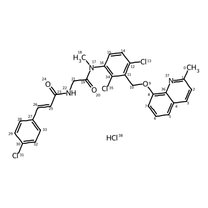 Cc1ccc2cccc(OCc3c(Cl)ccc(N(C)C(=O)CNC(=O)C=Cc4ccc(Cl)cc4)c3Cl)c2n1.Cl